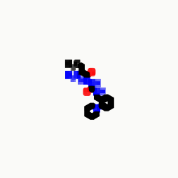 CC[C@H](N)C(=O)NNC(=O)NCc1ccccc1N1CCCCC1